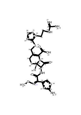 CO/N=C(\C(=O)N[C@@H]1C(=O)N2C(C(=O)O)=C(CSc3nnnn3CCNC(=N)N)CS[C@@H]12)c1csc(N)n1